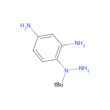 CC(C)(C)N(N)c1ccc(N)cc1N